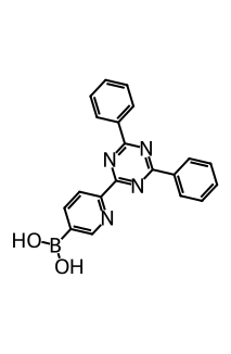 OB(O)c1ccc(-c2nc(-c3ccccc3)nc(-c3ccccc3)n2)nc1